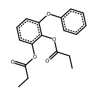 CCC(=O)Oc1cccc(Oc2ccccc2)c1OC(=O)CC